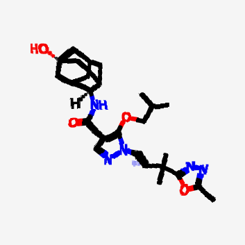 Cc1nnc(C(C)(C)/C=C/n2ncc(C(=O)N[C@H]3C4CC5CC3C[C@](O)(C5)C4)c2OCC(C)C)o1